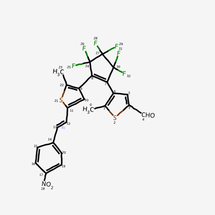 Cc1sc(C=O)cc1C1=C(c2cc(/C=C/c3ccc([N+](=O)[O-])cc3)sc2C)C(F)(F)C(F)(F)C1(F)F